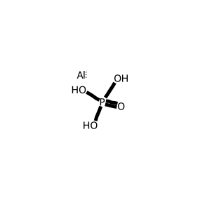 O=P(O)(O)O.[Al]